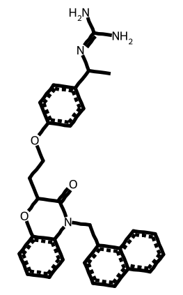 CC(N=C(N)N)c1ccc(OCCC2Oc3ccccc3N(Cc3cccc4ccccc34)C2=O)cc1